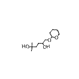 CC(C)(O)CCC(O)COC1CCCCO1